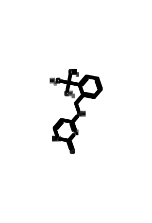 CC(C)(C)c1ccccc1CNc1cc[nH]c(=O)n1